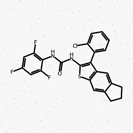 O=C(Nc1sc2cc3c(cc2c1-c1ccccc1Cl)CCC3)Nc1c(F)cc(F)cc1F